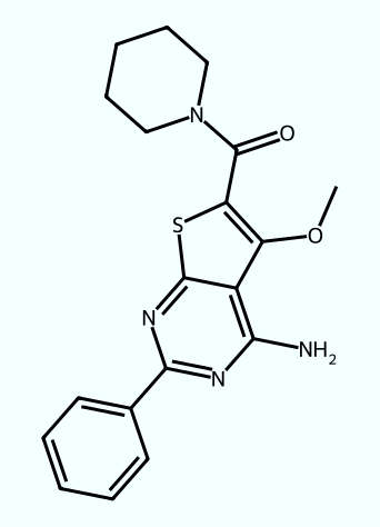 COc1c(C(=O)N2CCCCC2)sc2nc(-c3ccccc3)nc(N)c12